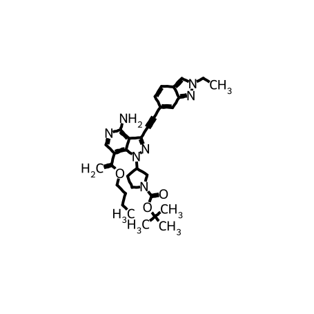 C=C(OCCCC)c1cnc(N)c2c(C#Cc3ccc4cn(CC)nc4c3)nn(C3CCN(C(=O)OC(C)(C)C)C3)c12